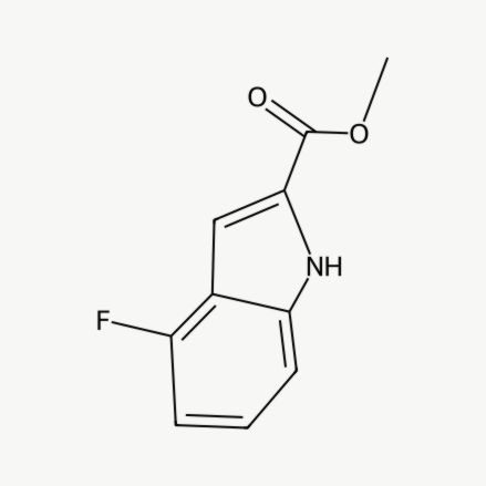 COC(=O)c1cc2c(F)cccc2[nH]1